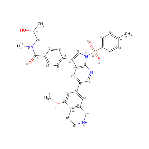 COc1cc(-c2cnc3c(c2)c(-c2ccc(C(=O)N(C)CC(C)O)cc2)cn3S(=O)(=O)c2ccc(C)cc2)cc2c1CCNC2